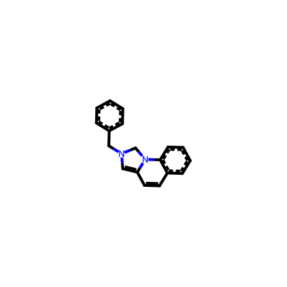 C1=Cc2ccccc2N2CN(Cc3ccccc3)C=C12